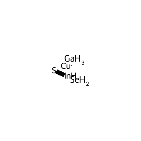 [Cu].[GaH3].[S]=[InH].[SeH2]